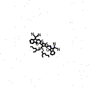 CCCCC(CC)CSC(SCC(CC)CCCC)=C1c2cc(/C=C3\C(=O)c4ccccc4C3=C(C#N)C#N)sc2-c2sc(/C=C3\C(=O)C4C=CC=CC4C3=C(C#N)C#N)cc21